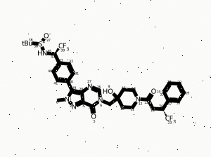 Cn1nc2c(=O)n(CC3(O)CCN(C(=O)C[C@H](c4ccccc4)C(F)(F)F)CC3)cnc2c1-c1ccc([C@@H](N[S+]([O-])C(C)(C)C)C(F)(F)F)cc1